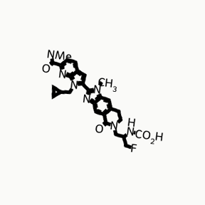 CNC(=O)c1ccc2cc(-c3nc4cc5c(cc4n3C)CCN(CC(CF)NC(=O)O)C5=O)n(CC3CC3)c2n1